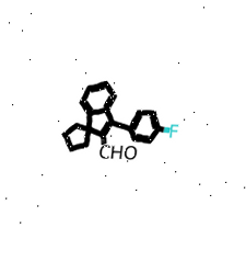 O=CC1=C(c2ccc(F)cc2)c2ccccc2C12CCCC2